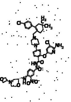 CC1(C)CCC(CN2CCN(c3ccc(C(=O)N[S+]([O-])c4ccc(NC[C@H]5CN(C6COC6)CCO5)c([N+](=O)[O-])c4)c(Oc4cnc(N)c(Cl)c4)c3)CC2)=C(c2ccc(Cl)cc2)C1